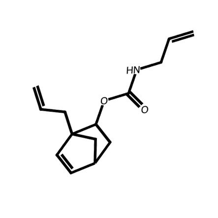 C=CCNC(=O)OC1CC2C=CC1(CC=C)C2